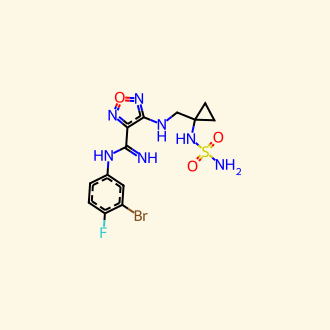 N=C(Nc1ccc(F)c(Br)c1)c1nonc1NCC1(NS(N)(=O)=O)CC1